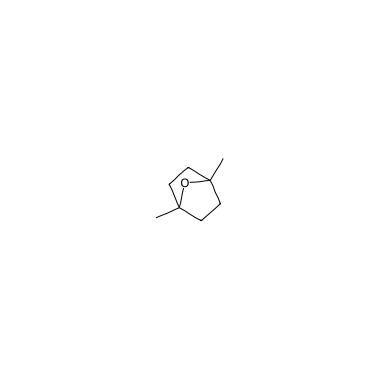 CC12CCC(C)(CC1)O2